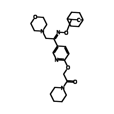 O=C(COc1ccc(/C(CN2CCOCC2)=N\OC2CC3CCC2CC3)cn1)N1CCCCC1